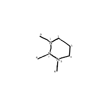 CN1CCCN(C)N1C